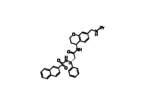 CC(C)NCc1ccc2c(c1)OCCC2NC(=O)C[C@@H](NS(=O)(=O)c1ccc2ccccc2c1)c1ccccc1